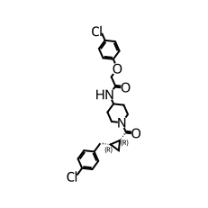 O=C(COc1ccc(Cl)cc1)NC1CCN(C(=O)[C@@H]2C[C@@H]2Cc2ccc(Cl)cc2)CC1